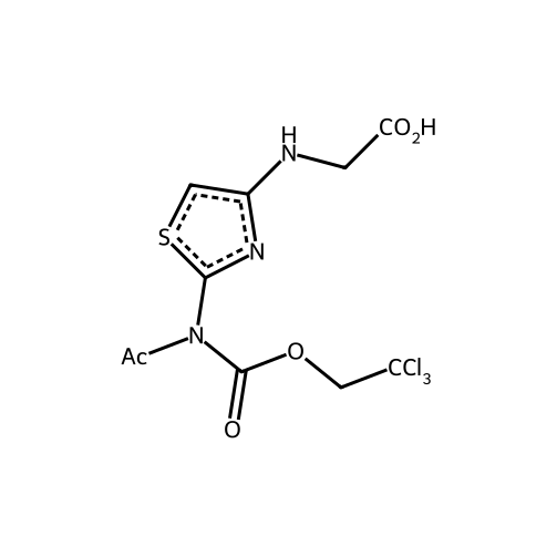 CC(=O)N(C(=O)OCC(Cl)(Cl)Cl)c1nc(NCC(=O)O)cs1